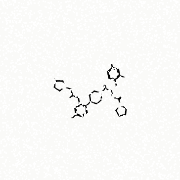 CC(Cc1cc(Cl)ccc1C1CCN(C(=O)[C@@H](Cc2ccc(Cl)cc2Cl)NC(=O)N2CCCC2)CC1)CN1CC[C@@H](F)C1